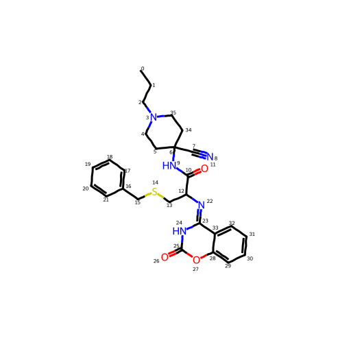 CCCN1CCC(C#N)(NC(=O)C(CSCc2ccccc2)/N=c2\[nH]c(=O)oc3ccccc23)CC1